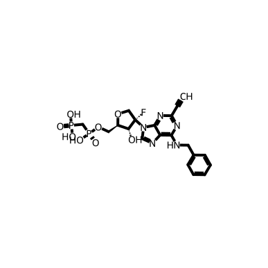 C#Cc1nc(NCc2ccccc2)c2ncn([C@]3(F)CO[C@H](COP(=O)(O)CP(=O)(O)O)[C@H]3O)c2n1